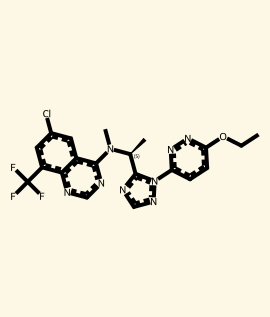 CCOc1ccc(-n2ncnc2[C@H](C)N(C)c2ncnc3c(C(F)(F)F)cc(Cl)cc23)nn1